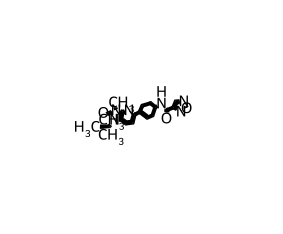 Cn1c(=O)n(CC(C)(C)C)c2ccc(C3=CCC(NC(=O)c4cnon4)CC3)nc21